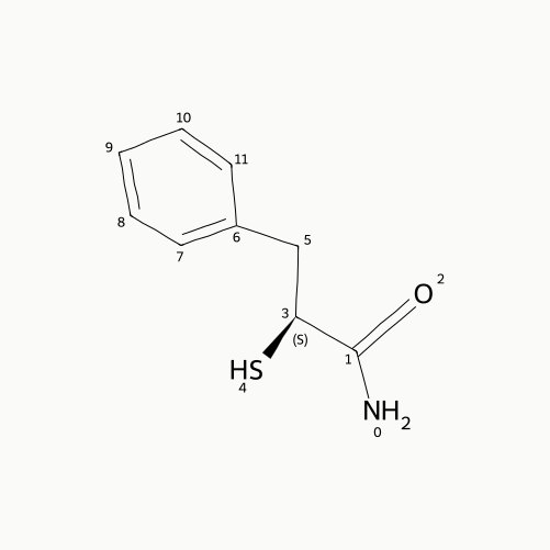 NC(=O)[C@@H](S)Cc1ccccc1